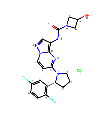 Cl.O=C(Nc1cnn2ccc(N3CCC[C@@H]3c3cc(F)ccc3F)nc12)N1CC(O)C1